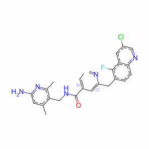 C=N/C(=C\C(=C/C)C(=O)NCc1c(C)cc(N)nc1C)Cc1ccc2ncc(Cl)cc2c1F